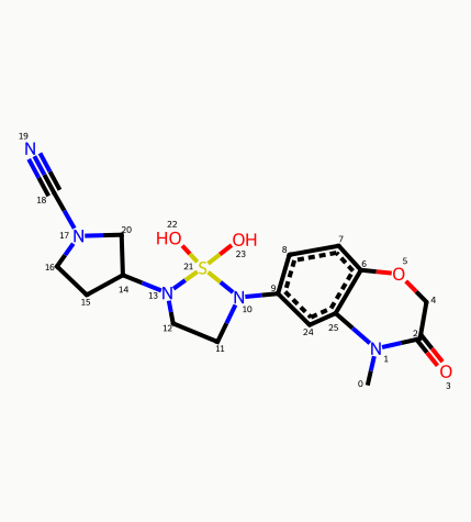 CN1C(=O)COc2ccc(N3CCN(C4CCN(C#N)C4)S3(O)O)cc21